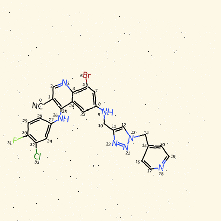 N#Cc1cnc2c(Br)cc(NCc3cn(Cc4ccncc4)nn3)cc2c1Nc1ccc(F)c(Cl)c1